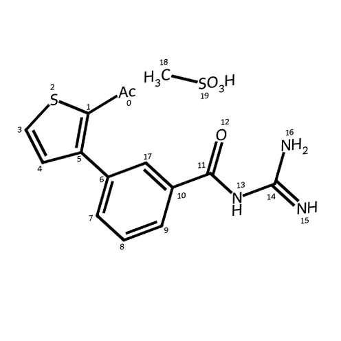 CC(=O)c1sccc1-c1cccc(C(=O)NC(=N)N)c1.CS(=O)(=O)O